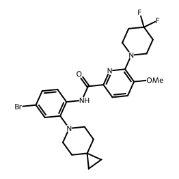 COc1ccc(C(=O)Nc2ccc(Br)cc2N2CCC3(CC2)CC3)nc1N1CCC(F)(F)CC1